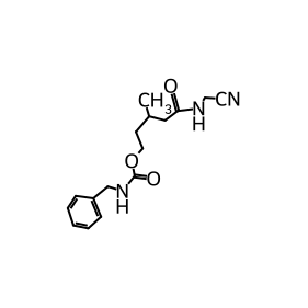 CC(CCOC(=O)NCc1ccccc1)CC(=O)NCC#N